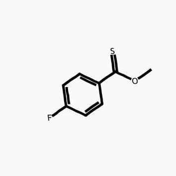 COC(=S)c1ccc(F)cc1